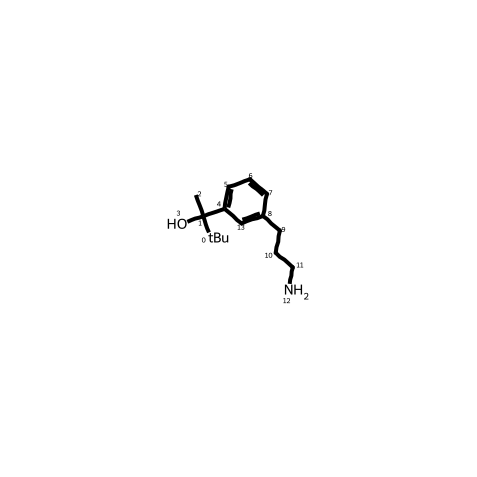 CC(C)(C)C(C)(O)c1cccc(CCCN)c1